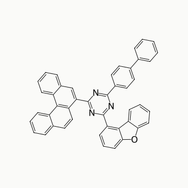 c1ccc(-c2ccc(-c3nc(-c4cc5ccccc5c5c4ccc4ccccc45)nc(-c4cccc5oc6ccccc6c45)n3)cc2)cc1